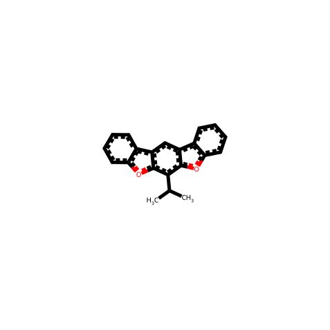 CC(C)c1c2oc3ccccc3c2cc2c1oc1ccccc12